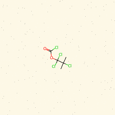 CC(C)(Cl)C(Cl)(Cl)OC(=O)Cl